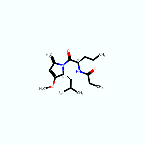 C=C1C=C(OC)[C@@H](CC(C)C)N1C(=O)[C@@H](CCC)NC(=O)CC